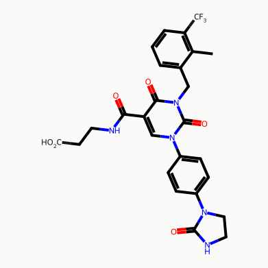 Cc1c(Cn2c(=O)c(C(=O)NCCC(=O)O)cn(-c3ccc(N4CCNC4=O)cc3)c2=O)cccc1C(F)(F)F